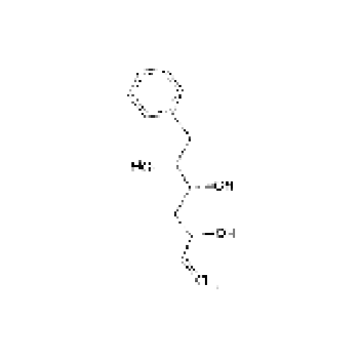 C=C[C@H](O)C[C@@H](O)[C@H](O)Cc1ccccc1